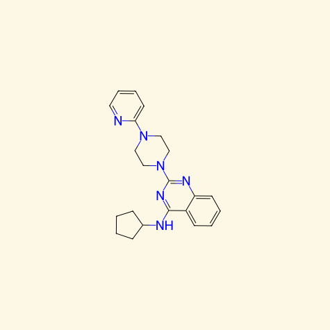 c1ccc(N2CCN(c3nc(NC4CCCC4)c4ccccc4n3)CC2)nc1